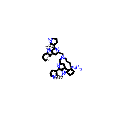 CCCCn1c2ccccc2c2cc(CN(CCCCN)Cc3cc4c5ccccc5n(CCCC)c4c(-c4cccnc4)n3)nc(-c3cccnc3)c21